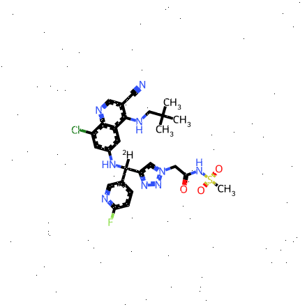 [2H]C(Nc1cc(Cl)c2ncc(C#N)c(NCC(C)(C)C)c2c1)(c1ccc(F)nc1)c1cn(CC(=O)NS(C)(=O)=O)nn1